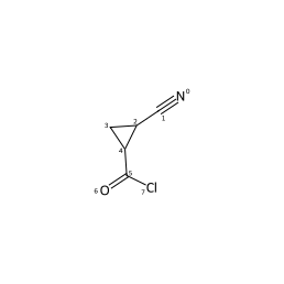 N#CC1CC1C(=O)Cl